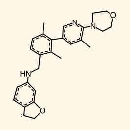 Cc1cc(-c2c(C)ccc(CNc3ccc4c(c3)OC[C]4)c2C)cnc1N1CCOCC1